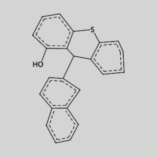 Oc1cccc2c1C(c1ccc3ccccc3c1)c1ccccc1S2